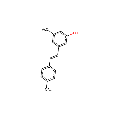 CC(=O)Oc1ccc(C=Cc2cc(O)cc(OC(C)=O)c2)cc1